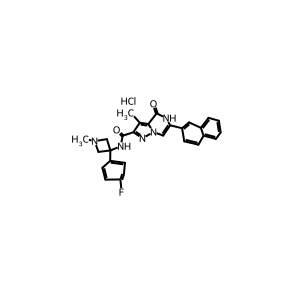 Cc1c(C(=O)NC2(c3ccc(F)cc3)CN(C)C2)nn2cc(-c3ccc4ccccc4c3)[nH]c(=O)c12.Cl